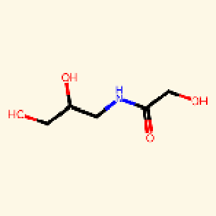 O=C(CO)NCC(O)CO